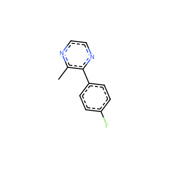 Cc1nccnc1-c1ccc(F)cc1